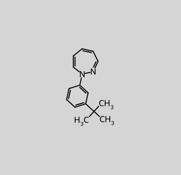 CC(C)(C)c1cccc(N2C=CC=CC=N2)c1